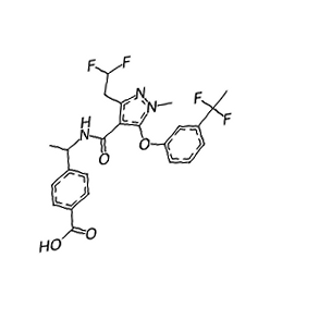 CC(NC(=O)c1c(CC(F)F)nn(C)c1Oc1cccc(C(C)(F)F)c1)c1ccc(C(=O)O)cc1